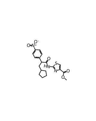 COC(=O)c1csc(NC(=O)C(CC2CCCC2)c2ccc([N+](=O)[O-])cc2)n1